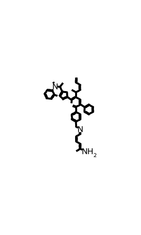 C=C/C=C\C(C)C(/C=C(\C(=C)c1ccc(C\N=C/C=C\C=C(/C)N)cc1)c1ccccc1)=C(/C)C1=CC=C(C(C)N(C)c2ccccc2C)C1